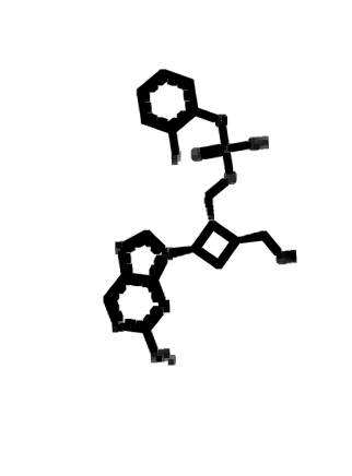 Nc1ncc2ncn([C@@H]3C[C@H](CO)[C@H]3COP(=O)(O)Oc3ccccc3F)c2n1